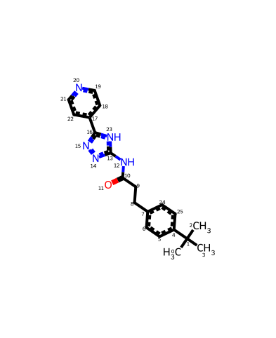 CC(C)(C)c1ccc(CCC(=O)Nc2nnc(-c3ccncc3)[nH]2)cc1